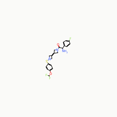 NC(C(=O)N1CC(=C2CN(Sc3ccc(OC(F)F)cc3)C2)C1)c1ccc(F)cc1